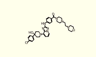 O=C(c1ccc(Nc2nc3c(N4CCC(O)(c5ccc(Cl)cc5)CC4)cccn3n2)cc1)N1CCN(CCN2CCOCC2)CC1